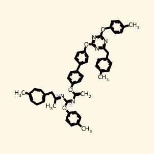 C=C(/N=C(\N=C(/C)CC1=CCC=C(C)C=C1)Oc1ccc(C)cc1)Oc1ccc(-c2ccc(Oc3nc(Cc4ccc(C)cc4)nc(Oc4ccc(C)cc4)n3)cc2)cc1